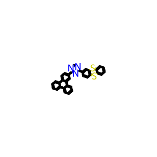 c1ccc2c(c1)Sc1ccc(-c3ncnc(-c4ccc5c6ccccc6c6ccccc6c5c4)n3)cc1S2